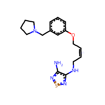 Nc1nsnc1NC/C=C\COc1cccc(CN2CCCC2)c1